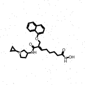 O=C(CCCC/C=C(\COc1cccc2ccccc12)C(=O)NC1CCN(C2CC2)C1)NO